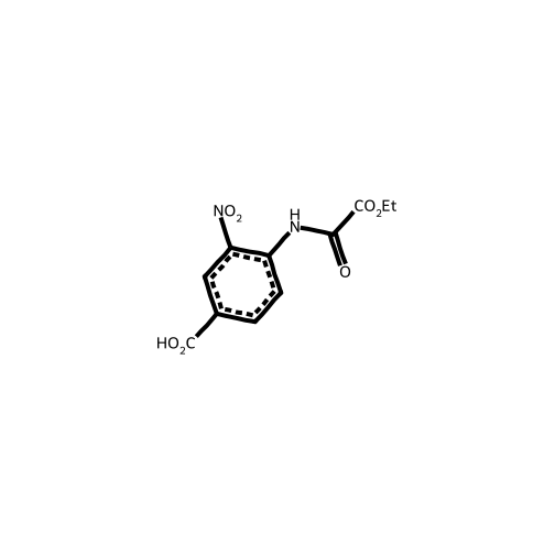 CCOC(=O)C(=O)Nc1ccc(C(=O)O)cc1[N+](=O)[O-]